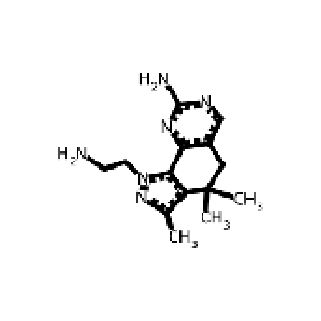 Cc1nn(CCN)c2c1C(C)(C)Cc1cnc(N)nc1-2